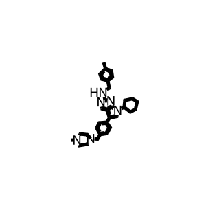 Cc1ccc(CNc2ncc3c(-c4ccc(CN5CCN(C)CC5)cc4)cn(C4CCCCC4)c3n2)cc1